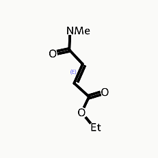 CCOC(=O)/C=C/C(=O)NC